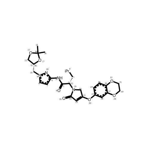 CC(C)C[C@@H](C(=O)Nc1ccn(C[C@@H]2COC(C)(C)O2)n1)N1CC(Oc2ccc3c(c2)OCCO3)=CC1=O